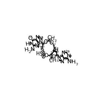 C#C[C@@]12COP(=O)(S)O[C@H](F)[C@H](n3nnc4c(=O)[nH]c(N)nc43)OC(C)OCC[C@H]1C[C@H](n1cnc3c(N)ncnc31)O2